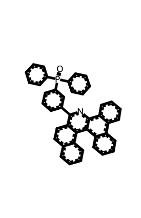 O=P(c1ccccc1)(c1ccccc1)c1cccc(-c2nc3c4ccccc4c4ccccc4c3c3c2ccc2ccccc23)c1